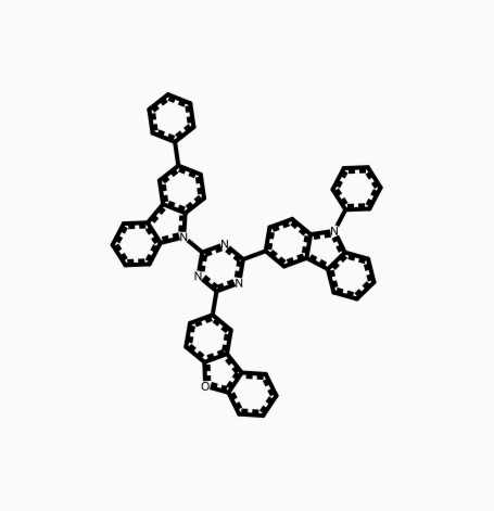 c1ccc(-c2ccc3c(c2)c2ccccc2n3-c2nc(-c3ccc4oc5ccccc5c4c3)nc(-c3ccc4c(c3)c3ccccc3n4-c3ccccc3)n2)cc1